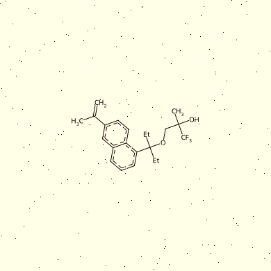 C=C(C)c1ccc2c(C(CC)(CC)OCC(C)(O)C(F)(F)F)cccc2c1